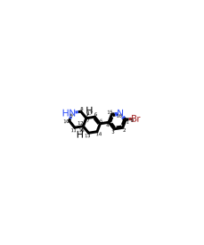 Brc1ccc(C2=C[C@@H]3CNCC[C@@H]3CC2)cn1